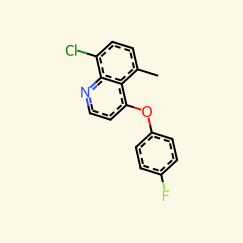 Cc1ccc(Cl)c2nccc(Oc3ccc(F)cc3)c12